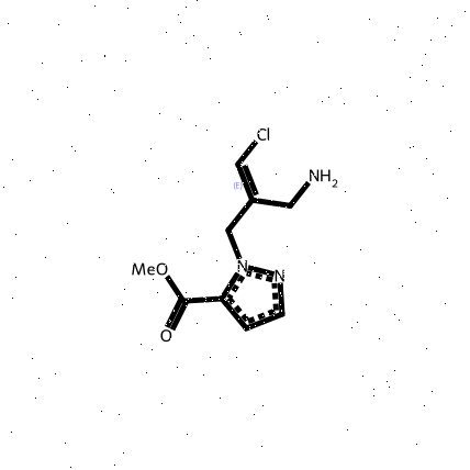 COC(=O)c1ccnn1C/C(=C/Cl)CN